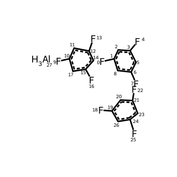 Fc1cc(F)cc(F)c1.Fc1cc(F)cc(F)c1.Fc1cc(F)cc(F)c1.[AlH3]